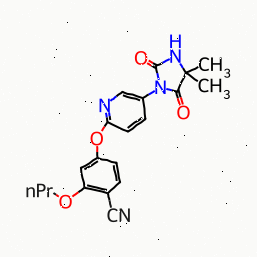 CCCOc1cc(Oc2ccc(N3C(=O)NC(C)(C)C3=O)cn2)ccc1C#N